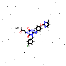 COC(=O)CCn1c(=O)[nH]/c(=N\c2ccc(Oc3nccc(C)n3)cc2)n(CC2C=CC(Cl)=CC2)c1=O